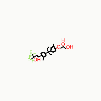 CCC(CC)(c1ccc(C=CC(O)(C(F)(F)F)C(F)(F)F)c(C)c1)c1ccc(OCC(O)CO)c(C)c1